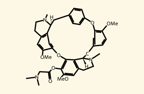 COc1ccc2cc1Oc1ccc(cc1)C[C@H]1c3cc(c(OC)cc3CCN1C)Oc1c(OC(=O)CN(C)C)c(OC)cc3c1[C@H](C2)N(C)CC3